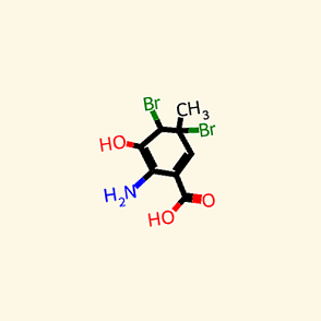 CC1(Br)C=C(C(=O)O)C(N)=C(O)C1Br